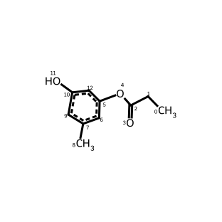 CCC(=O)Oc1cc(C)cc(O)c1